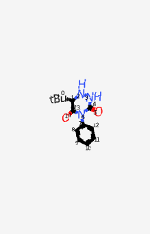 CC(C)(C)C1NNC(=O)N(c2ccccc2)C1=O